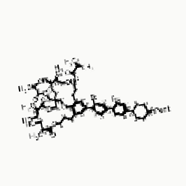 C=C(C)C(=O)OCCCc1cc(-c2ccc(-c3ccc(C4CCC(CCCCC)CC4)cc3F)cc2CC)cc(CCCOC(=O)C(=C)CO)c1OCC(COC(=O)C(=C)C)(COC(=O)C(=C)CO)COC(=O)C(=C)CO